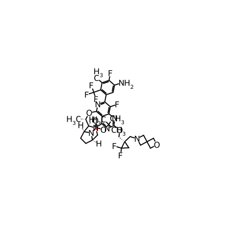 Cc1c(F)c(N)cc(-c2nc3c4c(nc(OC[C@]5(CN6CC7(COC7)C6)CC5(F)F)nc4c2F)N2C[C@H]4CC[C@@H]([C@H]2[C@H](C)O3)N4C(=O)OC(C)(C)C)c1C(F)(F)F